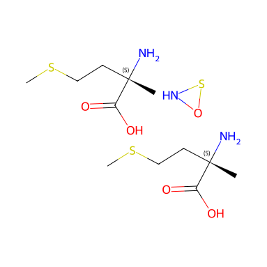 CSCC[C@](C)(N)C(=O)O.CSCC[C@](C)(N)C(=O)O.[nH]1os1